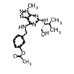 CC(=O)Oc1cccc(CNc2nc(N[C@@H](CO)C(C)C)nc3c2nnn3C)c1